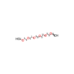 C#COCCOCCOCCOCCOCCOC#C